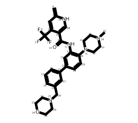 C=C1C=C(C(F)(F)F)C(C(=O)Nc2cc(-c3cccc(CN4CCOCC4)c3)ccc2N2CCN(C)CC2)=CN1